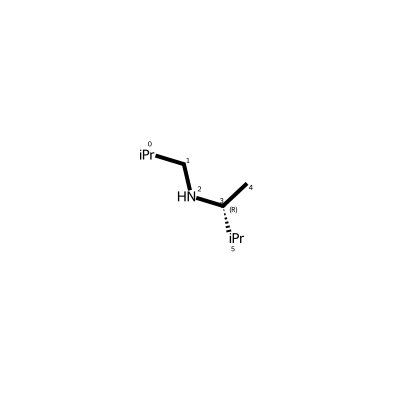 CC(C)CN[C@H](C)C(C)C